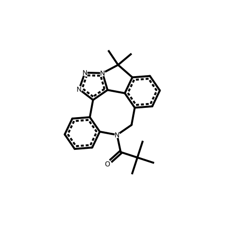 CC(C)(C)C(=O)N1Cc2cccc3c2-c2c(nnn2C3(C)C)-c2ccccc21